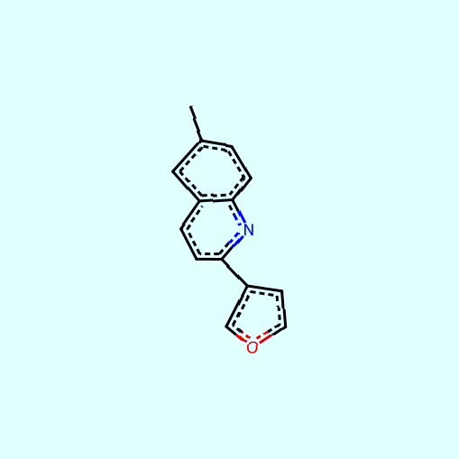 Cc1ccc2nc(-c3ccoc3)ccc2c1